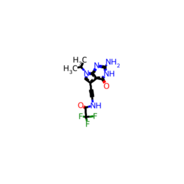 CC(C)n1cc(C#CNC(=O)C(F)(F)F)c2c(=O)[nH]c(N)nc21